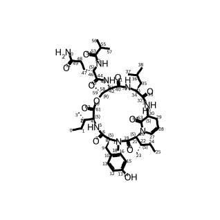 CC[C@H](C)[C@@H]1NC(=O)[C@H](Cc2ccc(O)cc2)N(C)C(=O)[C@H]([C@@H](C)CC)N2C=CC[C@H](NC(=O)[C@H](CC(C)C)NC(=O)[C@@H](NC(=O)[C@H](CCC(N)=O)NC(=O)C(C)C)[C@@H](C)OC1=O)C2=O